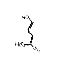 O=CC(O)=CC=CO